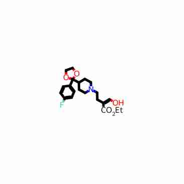 CCOC(=O)C(=CO)CCN1CCC(C2(c3ccc(F)cc3)OCCO2)CC1